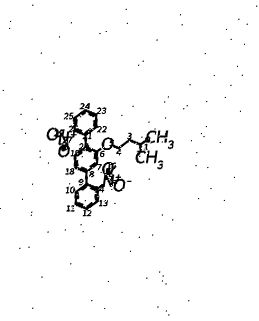 CC(C)CCOc1cc(-c2ccccc2[N+](=O)[O-])ccc1-c1ccccc1[N+](=O)[O-]